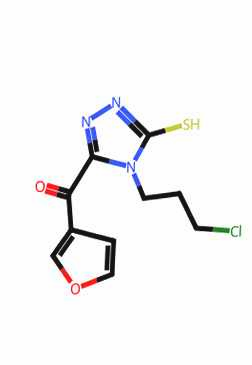 O=C(c1ccoc1)c1nnc(S)n1CCCCl